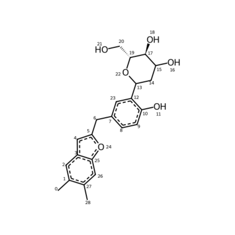 Cc1cc2cc(Cc3ccc(O)c(C4CC(O)[C@H](O)[C@@H](CO)O4)c3)oc2cc1C